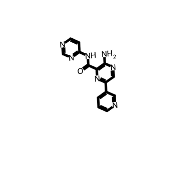 Nc1ncc(-c2cccnc2)nc1C(=O)Nc1ccncn1